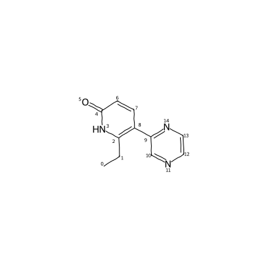 CCc1[nH]c(=O)ccc1-c1cnccn1